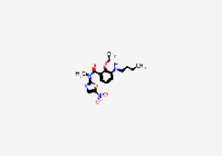 CCCCNc1cccc(C(=O)N(C)c2ncc([N+](=O)[O-])s2)c1OCC